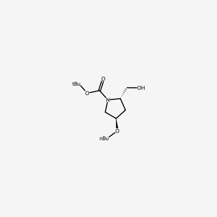 CCCCO[C@@H]1C[C@@H](CO)N(C(=O)OC(C)(C)C)C1